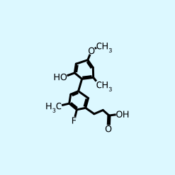 COc1cc(C)c(-c2cc(C)c(F)c(CCC(=O)O)c2)c(O)c1